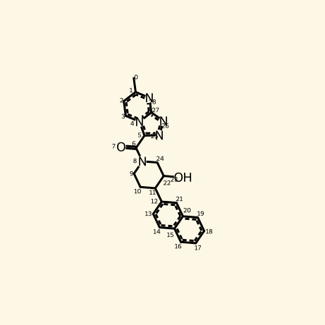 Cc1ccn2c(C(=O)N3CCC(c4ccc5ccccc5c4)C(O)C3)nnc2n1